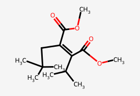 COC(=O)C(CC(C)(C)C)=C(C(=O)OC)C(C)C